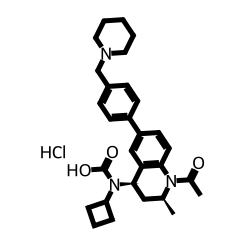 CC(=O)N1c2ccc(-c3ccc(CN4CCCCC4)cc3)cc2[C@H](N(C(=O)O)C2CCC2)C[C@@H]1C.Cl